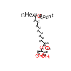 CCCCCCC(CCCCCCCCCCC(=O)OC(CO)CO)OCCCCC